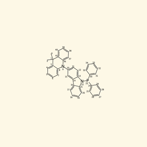 CC1(C)c2ccccc2N(c2ccc3c(c2)c2ccccc2n3P(c2ccccc2)c2ccccc2)c2ccccc21